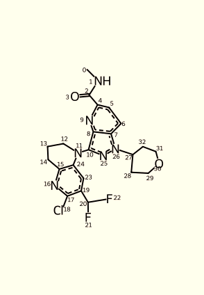 CNC(=O)c1ccc2c(n1)c(N1CCCc3nc(Cl)c(C(F)F)cc31)nn2C1CCOCC1